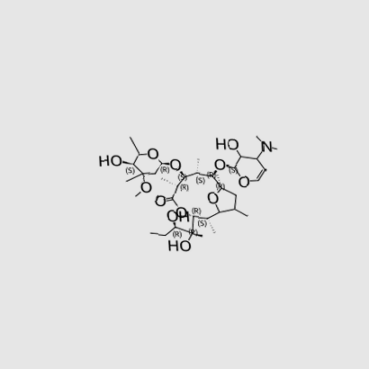 CC[C@@H](O)[C@@](C)(O)[C@@H]1OC(=O)[C@H](C)[C@@H](O[C@H]2CC(C)(OC)[C@@H](O)C(C)O2)[C@H](C)[C@@H](O[C@@H]2OC=CC(N(C)C)C2O)[C@@]2(C)CC(C)C(O2)[C@@H]1C